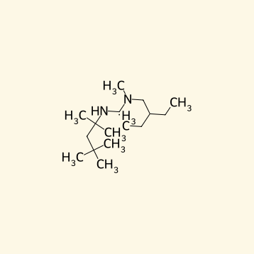 CCC(CC)CN(C)[CH]NC(C)(C)CC(C)(C)C